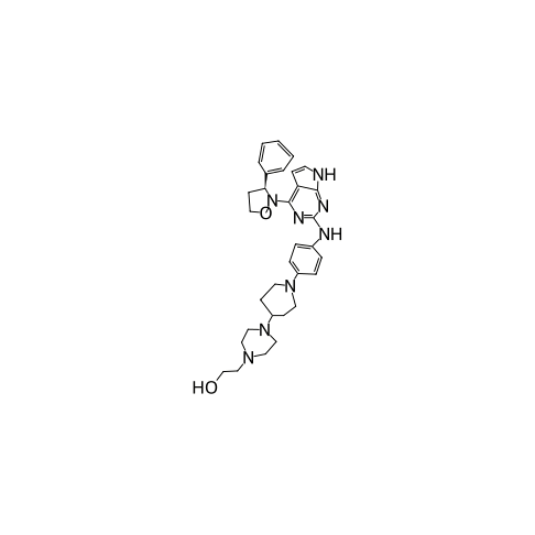 OCCN1CCN(C2CCN(c3ccc(Nc4nc(N5OCC[C@H]5c5ccccc5)c5cc[nH]c5n4)cc3)CC2)CC1